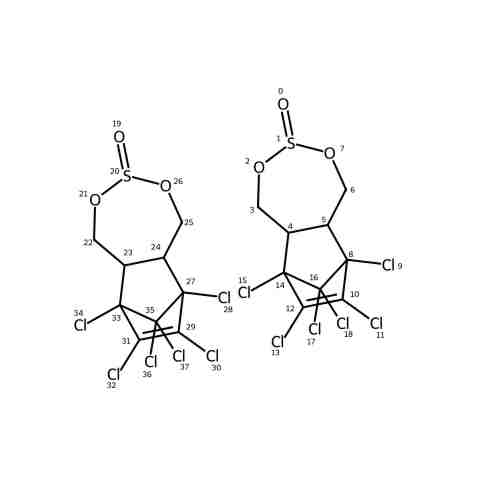 O=S1OCC2C(CO1)C1(Cl)C(Cl)=C(Cl)C2(Cl)C1(Cl)Cl.O=S1OCC2C(CO1)C1(Cl)C(Cl)=C(Cl)C2(Cl)C1(Cl)Cl